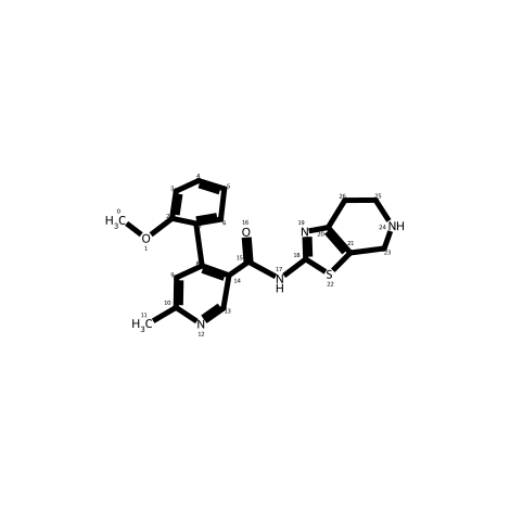 COc1ccccc1-c1cc(C)ncc1C(=O)Nc1nc2c(s1)CNCC2